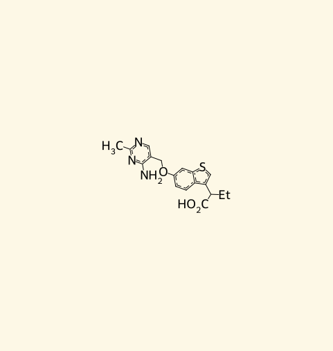 CCC(C(=O)O)c1csc2cc(OCc3cnc(C)nc3N)ccc12